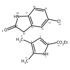 CCOC(=O)c1cc(C)c(C)[nH]1.O=C1Cc2cc(Cl)ccc2N1